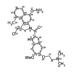 COc1cc2[nH]c(C(=O)N3C[C@@H](CCl)c4c3cc(ON)c3cccc(C)c43)cc2cc1OCCN(C)C